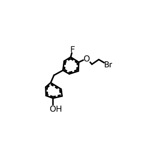 Oc1ccc(Cc2ccc(OCCBr)c(F)c2)cc1